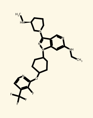 CCNc1cc2c(cn1)c(N1CCC[C@H](NC)C1)nn2C1CCC(Oc2nccc(C(F)(F)F)c2F)CC1